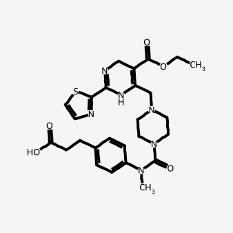 CCOC(=O)C1=C(CN2CCN(C(=O)N(C)c3ccc(CCC(=O)O)cc3)CC2)NC(c2nccs2)=NC1